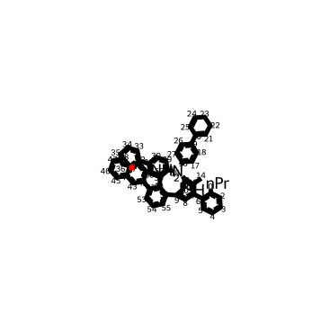 CCCc1ccccc1-c1cc2c(S)c(c1C)N(c1ccc(C3=CCCC=C3)cc1)c1ccc(-c3ccccc3)cc1-c1c(-c3cc4ccccc4cc3N)cccc1-2